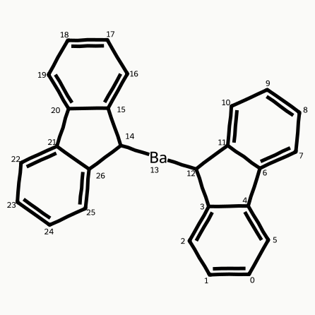 c1ccc2c(c1)-c1ccccc1[CH]2[Ba][CH]1c2ccccc2-c2ccccc21